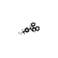 FC(F)(F)C(F)(F)c1ccc(C2OC3(CCCC3)c3c2cnc2c3CCCC2)cc1